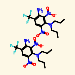 CCCN(CCC)c1c([N+](=O)[O-])cc(C(F)(F)F)c(N)c1[N+](=O)[O-].CCCN(CCC)c1c([N+](=O)[O-])cc(C(F)(F)F)c(N)c1[N+](=O)[O-]